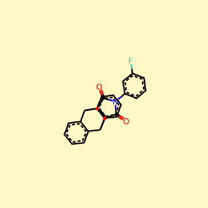 O=C1C2=C(C(=O)N1c1cccc(F)c1)C1c3ccccc3C2c2ccccc21